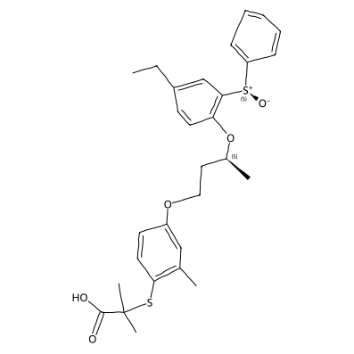 CCc1ccc(O[C@@H](C)CCOc2ccc(SC(C)(C)C(=O)O)c(C)c2)c([S@+]([O-])c2ccccc2)c1